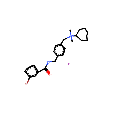 C[N+](C)(Cc1ccc(CNC(=O)c2cccc(Br)c2)cc1)C1CCCCC1.[I-]